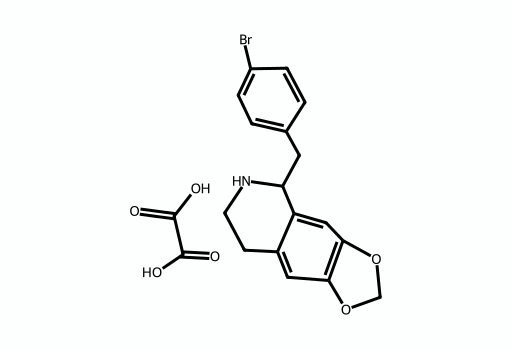 Brc1ccc(CC2NCCc3cc4c(cc32)OCO4)cc1.O=C(O)C(=O)O